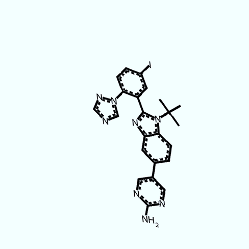 CC(C)(C)n1c(-c2cc(I)ccc2-n2cncn2)nc2cc(-c3cnc(N)nc3)ccc21